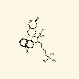 C=C(C)[C@@H]1N2CC(=O)NN=C2C[C@@H](c2cccc(Cl)c2)[C@]12C(=O)N(COCC[Si](C)(C)C)c1cc(Cl)ccc12